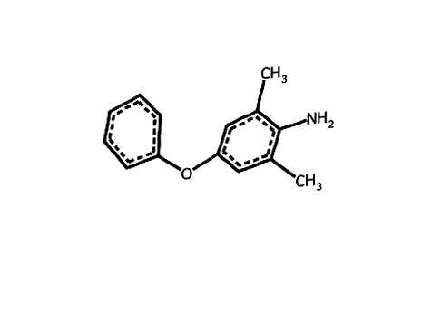 Cc1cc(Oc2ccccc2)cc(C)c1N